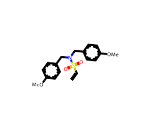 C=CS(=O)(=O)N(Cc1ccc(OC)cc1)Cc1ccc(OC)cc1